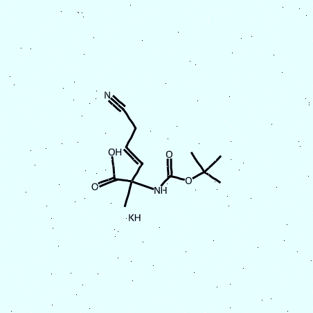 CC(C)(C)OC(=O)NC(C)(C=CCC#N)C(=O)O.[KH]